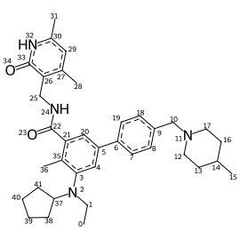 CCN(c1cc(-c2ccc(CN3CCC(C)CC3)cc2)cc(C(=O)NCc2c(C)cc(C)[nH]c2=O)c1C)C1CCCC1